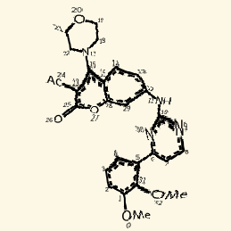 COc1cccc(-c2ccnc(Nc3ccc4c(N5CCOCC5)c(C(C)=O)c(=O)oc4c3)n2)c1OC